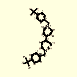 CC(C)(C)c1ccc(C[n+]2ccc(-c3cc[n+](Cc4ccc(C(C)(C)C)cc4)cc3)cc2)cc1